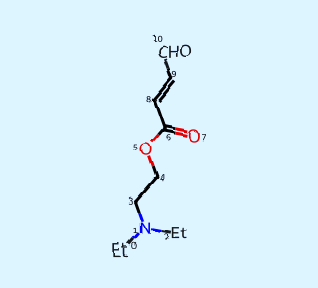 CCN(CC)CCOC(=O)/C=C/C=O